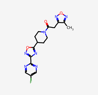 Cc1nonc1CC(=O)N1CCC(c2nc(-c3ncc(F)cn3)no2)CC1